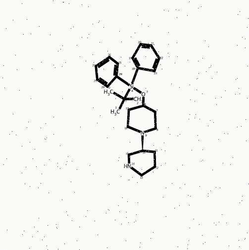 CC(C)(C)[Si](OC1CCN([C@H]2CCCNC2)CC1)(c1ccccc1)c1ccccc1